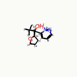 CC(C)(C)C(O)(c1cccnn1)C1CCCO1